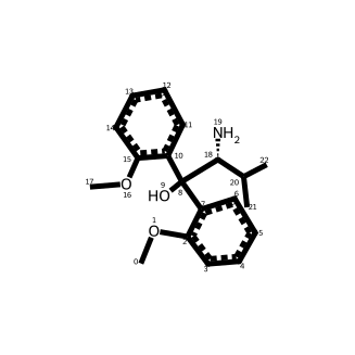 COc1ccccc1C(O)(c1ccccc1OC)[C@H](N)C(C)C